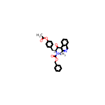 CC(=O)Oc1ccc(C[C@H](NC(=O)OCc2ccccc2)C(=O)c2c(C)ncc3ccccc23)cc1